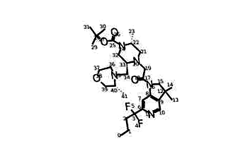 CCCC(F)(F)c1cc2c(cn1)C(C)(C)CN2C(=O)CN1C[C@@H](C)N(C(=O)OC(C)(C)C)C[C@@H]1CN1CCOC[C@H]1C